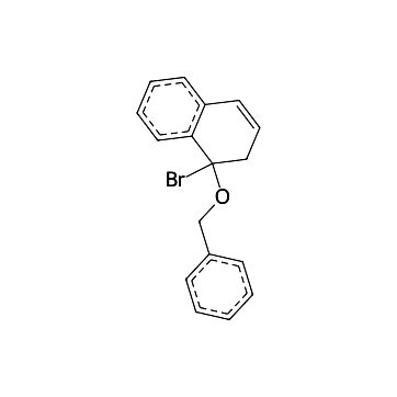 BrC1(OCc2ccccc2)CC=Cc2ccccc21